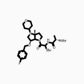 CN[C@@H](C)C(=O)NC(C(=O)N1CC[C@]2(C)C1[C@@H](OCc1ccc(F)cc1)CN2C1CCOCC1)C(C)(C)C